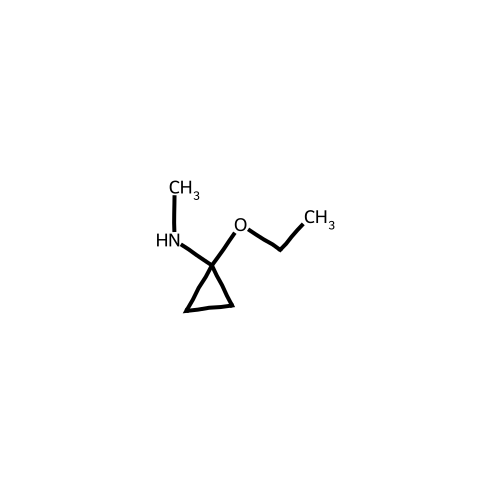 CCOC1(NC)CC1